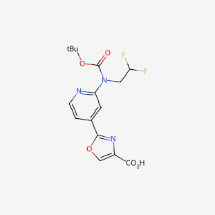 CC(C)(C)OC(=O)N(CC(F)F)c1cc(-c2nc(C(=O)O)co2)ccn1